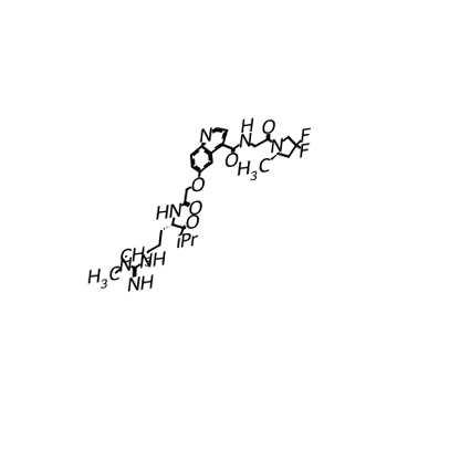 CC(C)C(=O)[C@H](CCCNC(=N)N(C)C)NC(=O)COc1ccc2nccc(C(=O)NCC(=O)N3CC(F)(F)C[C@H]3C)c2c1